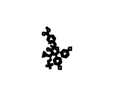 COC(=O)c1ccc(C[C@]2(C)O[C@H](c3cccc(Cl)c3)[C@@H](c3ccc(Cl)cc3)N([C@H](CSC(C)(C)C)C3CC3)C2=O)nc1